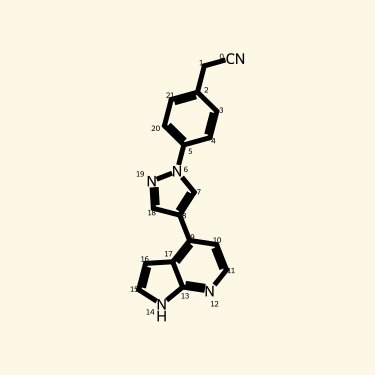 N#CCc1ccc(-n2cc(-c3ccnc4[nH]ccc34)cn2)cc1